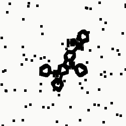 c1ccc(-n2c3ccccc3c3cc4c(cc32)c2ccc(-c3nc5ccccc5[nH]3)cc2n4-c2ccccc2)cc1